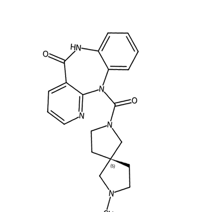 CN1CC[C@]2(CCN(C(=O)N3c4ccccc4NC(=O)c4cccnc43)C2)C1